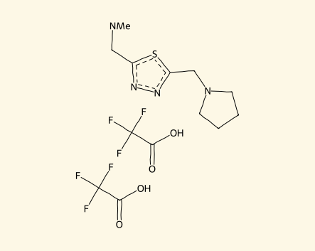 CNCc1nnc(CN2CCCC2)s1.O=C(O)C(F)(F)F.O=C(O)C(F)(F)F